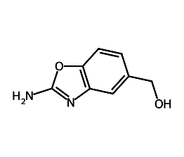 Nc1nc2cc(CO)ccc2o1